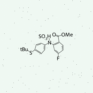 COC(=O)c1ccc(F)cc1N(c1ccc(SC(C)(C)C)cc1)S(=O)(=O)O